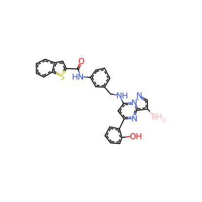 Bc1cnn2c(NCc3cccc(NC(=O)c4cc5ccccc5s4)c3)cc(-c3ccccc3O)nc12